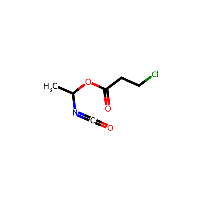 CC(N=C=O)OC(=O)CCCl